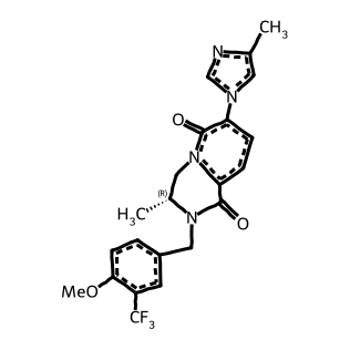 COc1ccc(CN2C(=O)c3ccc(-n4cnc(C)c4)c(=O)n3C[C@H]2C)cc1C(F)(F)F